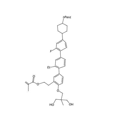 C=C(C)C(=O)OCCc1cc(-c2ccc(-c3ccc(C4CCC(CCCCC)CC4)cc3F)cc2CC)ccc1OCC(C)(CO)CO